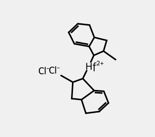 CC1CC2CC=CC=C2[CH]1[Hf+2][CH]1C2=CC=CCC2CC1C.[Cl-].[Cl-]